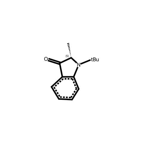 C[C@H]1C(=O)c2ccccc2N1C(C)(C)C